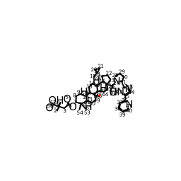 CC(C)(CC(=O)O[C@H]1CC[C@]2(C)[C@H]3CC[C@@H]4[C@H]5[C@H](C6(C)CC6)CC[C@]5(C(=O)N5CCC[C@H]5c5ncc(-c6ccccn6)[nH]5)CC[C@@]4(C)[C@]3(C)CC[C@H]2C1(C)C)C(=O)O